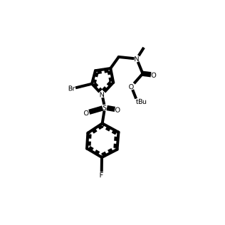 CN(Cc1cc(Br)n(S(=O)(=O)c2ccc(F)cc2)c1)C(=O)OC(C)(C)C